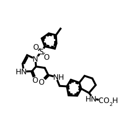 Cc1ccc(S(=O)(=O)N2C=CNC(=O)C2CC(=O)NCc2ccc3c(c2)CCCC3NC(=O)O)cc1